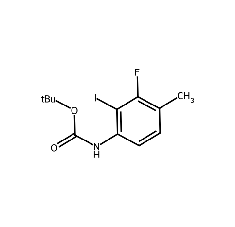 Cc1ccc(NC(=O)OC(C)(C)C)c(I)c1F